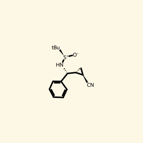 CC(C)(C)[S@@+]([O-])N[C@@H](c1ccccc1)[C@@H]1C[C@H]1C#N